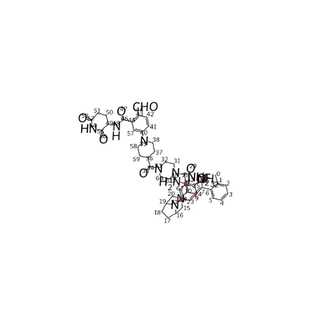 Cc1ccccc1/C(N)=C/C(=C(N)N)N1CC2CCC(C1)N2c1ccc(C(F)(F)F)c(C(=O)N2CCN(C(=O)C3CCN(c4ccc(C=O)c(C(=O)NC5CCC(=O)NC5=O)c4)CC3)CC2)c1